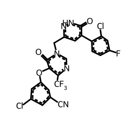 N#Cc1cc(Cl)cc(Oc2c(C(F)(F)F)ncn(Cc3cc(-c4ccc(F)cc4Cl)c(=O)[nH]n3)c2=O)c1